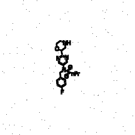 CCCS(=O)(=O)N(Cc1ccc(F)cc1)c1cnc(C2CNCCO2)nc1